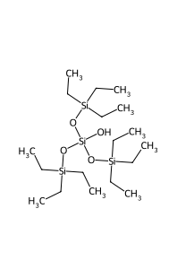 CC[Si](CC)(CC)O[Si](O)(O[Si](CC)(CC)CC)O[Si](CC)(CC)CC